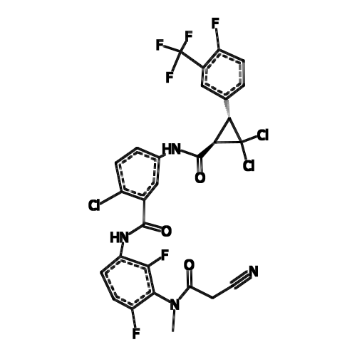 CN(C(=O)CC#N)c1c(F)ccc(NC(=O)c2cc(NC(=O)[C@H]3[C@H](c4ccc(F)c(C(F)(F)F)c4)C3(Cl)Cl)ccc2Cl)c1F